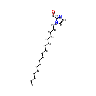 CCCCCCCCCCCCCCCCCCn1ccnc1C=O